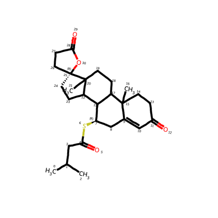 CC(C)CC(=O)S[C@@H]1CC2=CC(=O)CCC2(C)C2CCC3(C)C(CC[C@@]34CCC(=O)O4)C21